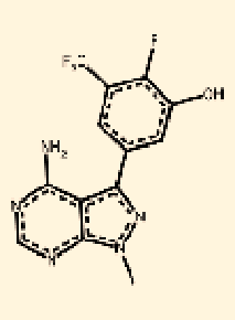 Cn1nc(-c2cc(O)c(F)c(C(F)(F)F)c2)c2c(N)ncnc21